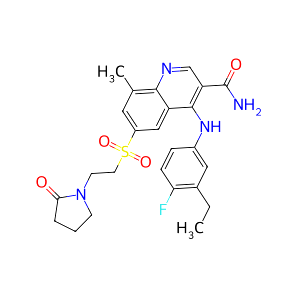 CCc1cc(Nc2c(C(N)=O)cnc3c(C)cc(S(=O)(=O)CCN4CCCC4=O)cc23)ccc1F